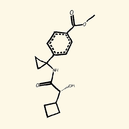 COC(=O)c1ccc(C2(NC(=O)[C@H](O)C3CCC3)CC2)cc1